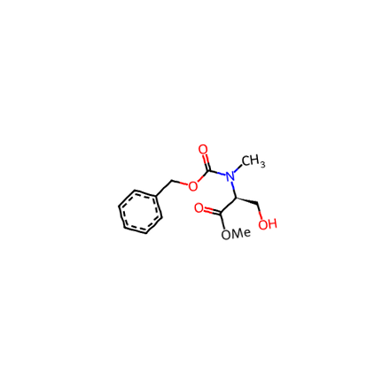 COC(=O)[C@H](CO)N(C)C(=O)OCc1ccccc1